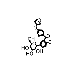 O=C(c1ccc(O[C@H]2CCOC2)cc1)c1cc(C2O[C@H](CO)[C@@H](O)[C@H](O)[C@H]2O)ccc1Cl